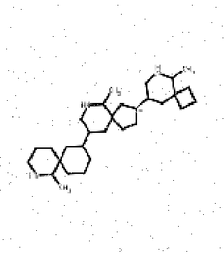 CC1NCCCC12CCCC(C1CNC(C)C3(CC[C@H](C4CNC(C)C5(CCC5)C4)C3)C1)C2